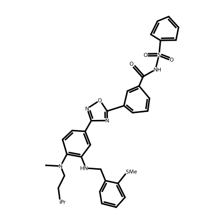 CSc1ccccc1CNc1cc(-c2noc(-c3cccc(C(=O)NS(=O)(=O)c4ccccc4)c3)n2)ccc1N(C)CCC(C)C